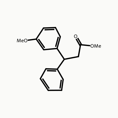 COC(=O)CC(c1ccccc1)c1cccc(OC)c1